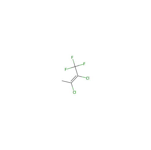 C/C(Cl)=C(/Cl)C(F)(F)F